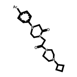 CC(=O)c1ccc(N2CCN(CC(=O)N3CCN(C4CCC4)CC3)C(=O)C2)cc1